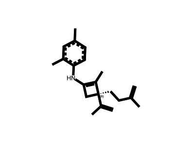 C=C(C)CC[C@]1(C(=C)C)CC(Nc2ccc(C)cc2C)=C1C